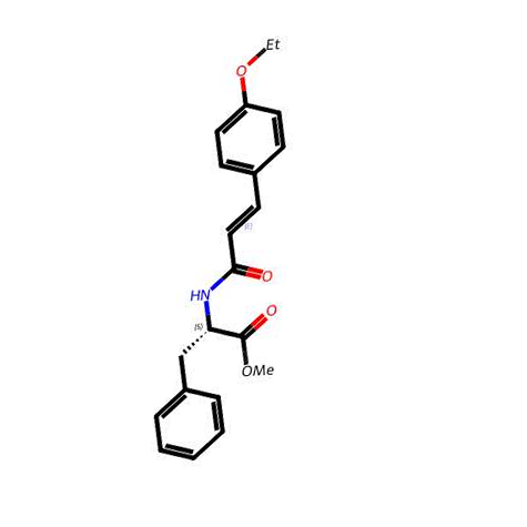 CCOc1ccc(/C=C/C(=O)N[C@@H](Cc2ccccc2)C(=O)OC)cc1